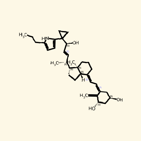 C=C1/C(=C\C=C2/CCC[C@]3(C)[C@@H]([C@H](C)/C=C/[C@H](O)C4(c5ccc(CCC)[nH]5)CC4)CC[C@@H]23)C[C@@H](O)C[C@@H]1O